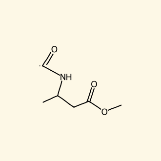 COC(=O)CC(C)N[C]=O